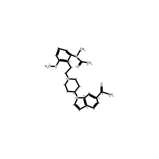 COc1cccc(N(C)C(C)=O)c1CCN1CCC(n2ccc3ccc(C(N)=O)cc32)CC1